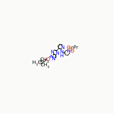 CCCS(=O)(=O)N1CCC[C@H](Nc2ncccc2-c2cnc3c(cnn3COCC[Si](C)(C)C)n2)C1